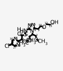 COCC(COC)n1c(CCOCCO)nnc1NSC(C)C(OC)c1ncc(Cl)cn1